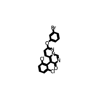 O=c1ncn2nc(Oc3cccc(Br)c3)ccc2c1-c1c(Cl)cccc1Cl